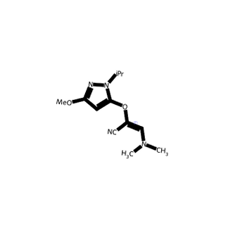 COc1cc(O/C(C#N)=C/N(C)C)n(C(C)C)n1